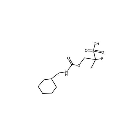 O=C(NCC1CCCCC1)OCC(F)(F)S(=O)(=O)O